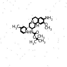 COc1cc2c(cc1N)CCN1C[C@@H](c3cc(C)ccn3)[C@H](NC(=O)OC(C)(C)C)C[C@H]21